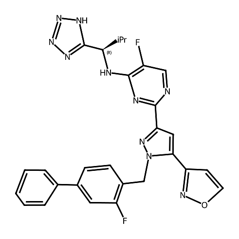 CC(C)[C@@H](Nc1nc(-c2cc(-c3ccon3)n(Cc3ccc(-c4ccccc4)cc3F)n2)ncc1F)c1nnn[nH]1